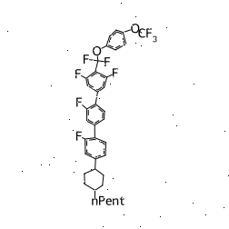 CCCCCC1CCC(c2ccc(-c3ccc(-c4cc(F)c(C(F)(F)Oc5ccc(OC(F)(F)F)cc5)c(F)c4)c(F)c3)c(F)c2)CC1